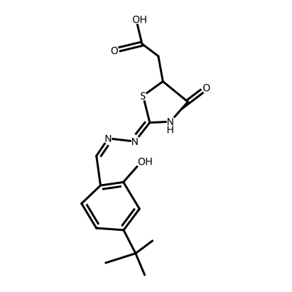 CC(C)(C)c1ccc(/C=N\N=C2\NC(=O)C(CC(=O)O)S2)c(O)c1